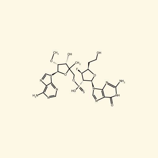 CO[C@H]1[C@H](n2cnc3c(N)ncnc32)OC(C)(COP(O)(=S)[C@@H]2[C@@H](F)[C@@H](CCO)O[C@H]2n2cnc3c(=O)[nH]c(N)nc32)[C@H]1O